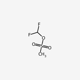 CS(=O)(=O)OC(F)F